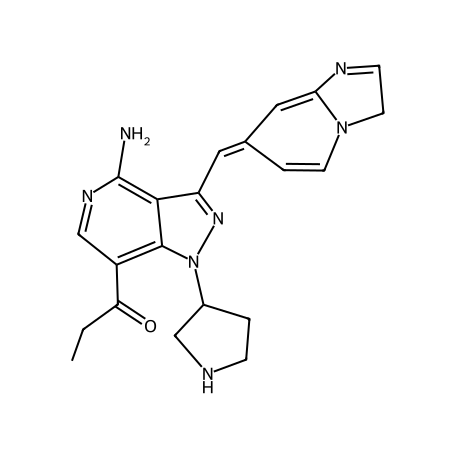 CCC(=O)c1cnc(N)c2c(C=C3C=CN4CC=NC4=C3)nn(C3CCNC3)c12